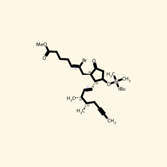 CC#CC[C@H](C)[C@H](C)/C=C/[C@H]1C(O[Si](C)(C)C(C)(C)C)CC(=O)[C@@H]1C/C(Br)=C/CCCC(=O)OC